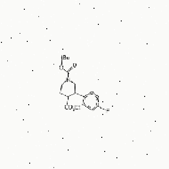 CCOC(=O)C1CCN(C(=O)OC(C)(C)C)CC1c1ccc(F)cc1